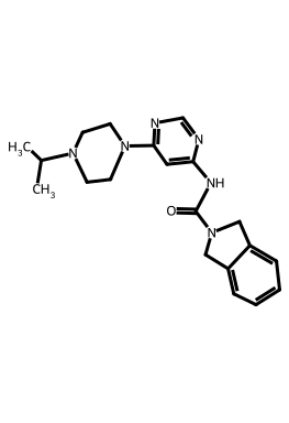 CC(C)N1CCN(c2cc(NC(=O)N3Cc4ccccc4C3)ncn2)CC1